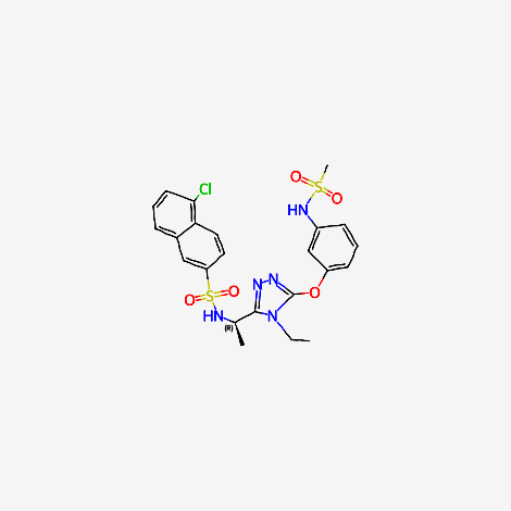 CCn1c(Oc2cccc(NS(C)(=O)=O)c2)nnc1[C@@H](C)NS(=O)(=O)c1ccc2c(Cl)cccc2c1